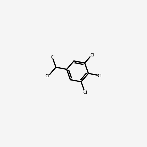 Clc1cc(C(Cl)Cl)cc(Cl)c1Cl